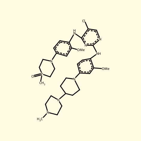 COc1cc(N2CCC(N3CCN(C)CC3)CC2)ccc1Nc1ncc(Cl)c(Nc2ccc(N3CCP(C)(=O)CC3)cc2OC)n1